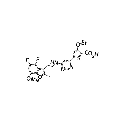 CCOc1cc(-c2cc(NCCc3c(C)oc4c(OC)cc(F)c(F)c34)ncn2)sc1C(=O)O